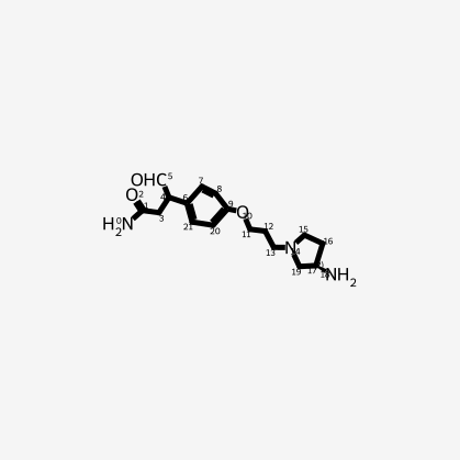 NC(=O)CC(C=O)c1ccc(OCCCN2CC[C@@H](N)C2)cc1